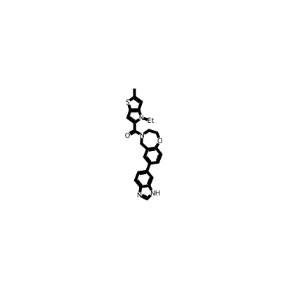 CCn1c(C(=O)N2CCOc3ccc(-c4ccc5nc[nH]c5c4)cc3C2)cc2sc(C)cc21